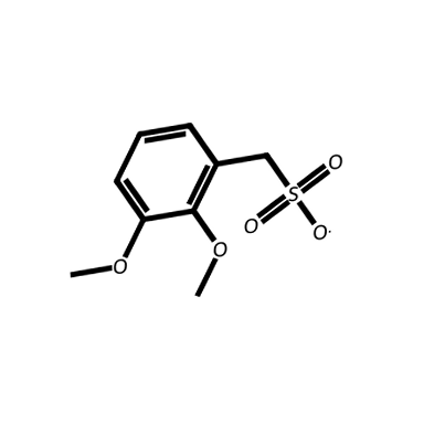 COc1cccc(CS([O])(=O)=O)c1OC